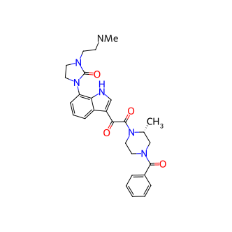 CNCCN1CCN(c2cccc3c(C(=O)C(=O)N4CCN(C(=O)c5ccccc5)C[C@H]4C)c[nH]c23)C1=O